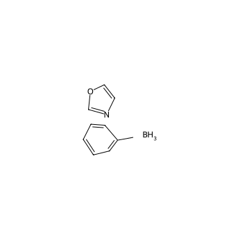 B.Cc1ccccc1.c1cocn1